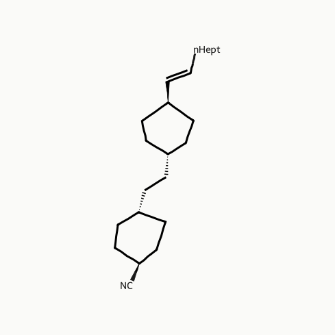 CCCCCCC/C=C/[C@H]1CC[C@H](CC[C@H]2CC[C@H](C#N)CC2)CC1